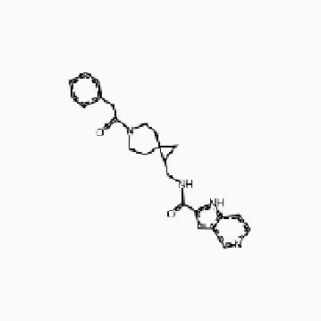 O=C(NCC1CC12CCN(C(=O)Cc1ccccc1)CC2)c1cc2cnccc2[nH]1